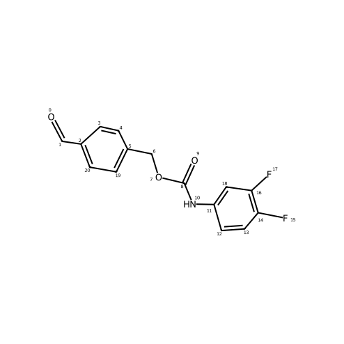 O=Cc1ccc(COC(=O)Nc2ccc(F)c(F)c2)cc1